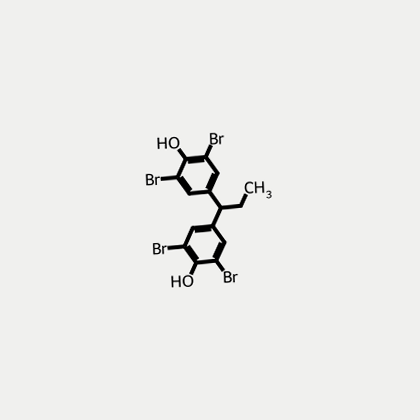 CCC(c1cc(Br)c(O)c(Br)c1)c1cc(Br)c(O)c(Br)c1